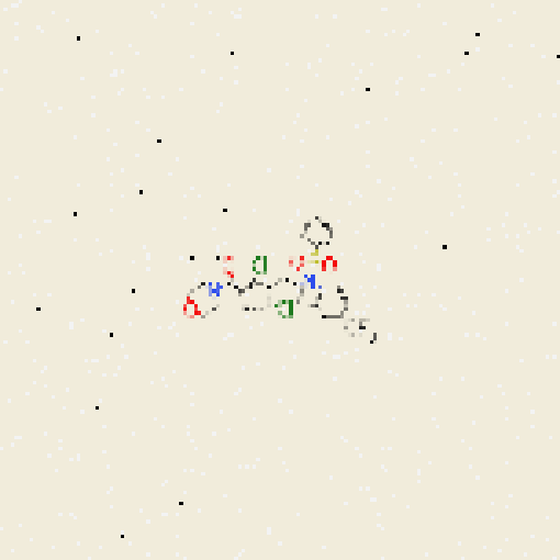 O=C(c1ccc(Cl)c(Cc2cc3cc(C(F)(F)F)ccc3n2S(=O)(=O)c2ccccc2)c1Cl)N1CCOCC1